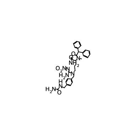 CN(C(=O)C(c1ccccc1)c1ccccc1)[C@H](CCCN(Cc1ccc(CNC(N)=O)cc1)C(N)=N[N+](=O)[O-])C(N)=O